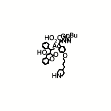 CC(=O)CC(c1ccccc1)c1c(O)c2ccccc2oc1=O.CCCCS(=O)(=O)N[C@@H](Cc1ccc(OCCCCC2CCNCC2)cc1)C(=O)O